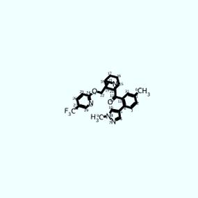 Cc1ccc(-c2cnn(C)c2)c(C(=O)N2C3CCC(CC3)C2COc2ccc(C(F)(F)F)cn2)c1